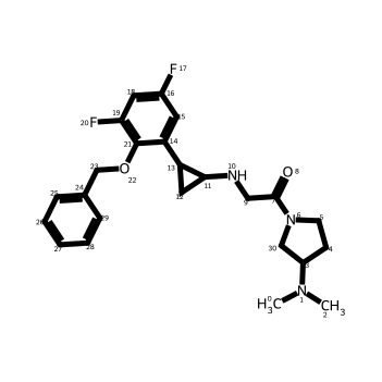 CN(C)C1CCN(C(=O)CNC2CC2c2cc(F)cc(F)c2OCc2ccccc2)C1